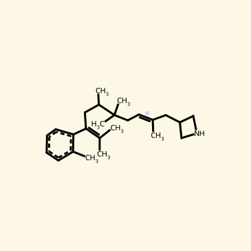 CC(C)=C(CC(C)C(C)(C)C/C=C(\C)CC1CNC1)c1ccccc1C